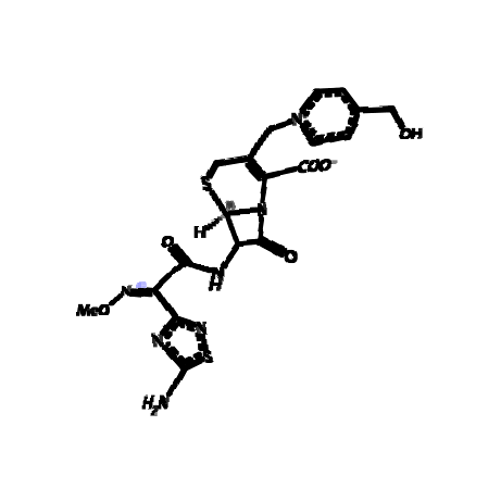 CO/N=C(/C(=O)NC1C(=O)N2C(C(=O)[O-])=C(C[n+]3ccc(CO)cc3)CS[C@H]12)c1nsc(N)n1